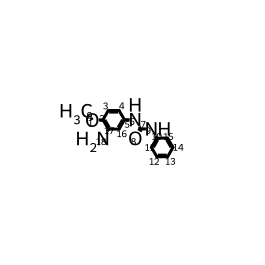 COc1ccc(NC(=O)Nc2ccccc2)cc1N